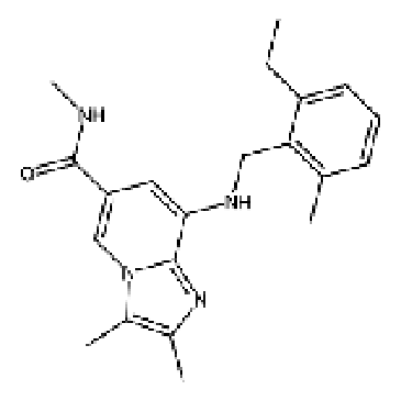 CCc1cccc(C)c1CNc1cc(C(=O)NC)cn2c(C)c(C)nc12